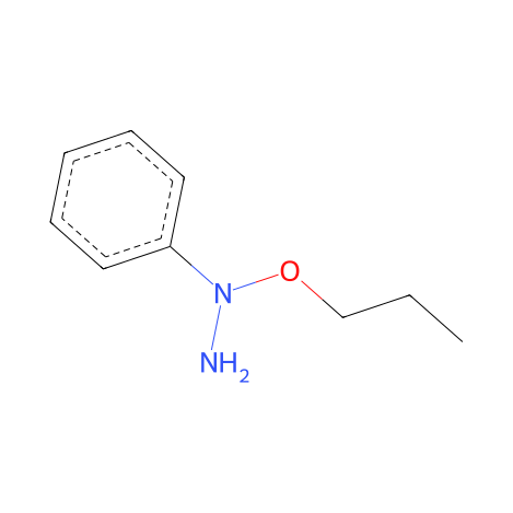 CCCON(N)c1ccccc1